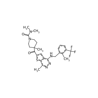 Cc1c(CNc2nnc(C)c3sc(C(=O)C4(C)CCN(C(=O)N(C)C)CC4)cc23)cccc1C(F)(F)F